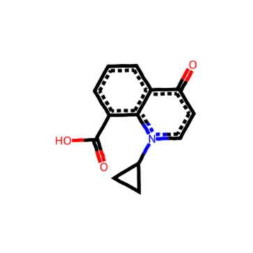 O=C(O)c1cccc2c(=O)ccn(C3CC3)c12